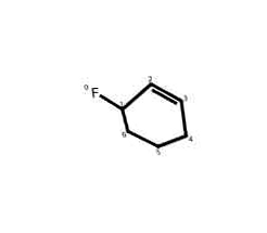 FC1C=CCCC1